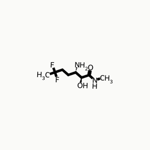 CNC(=O)[C@@H](O)[C@@H](N)CCC(C)(F)F